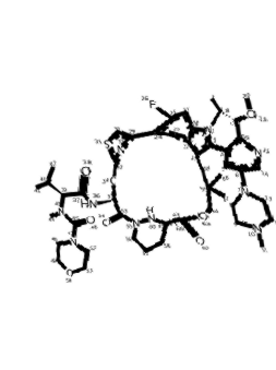 CCn1c(-c2cc(N3CCN(C)CC3)cnc2[C@H](C)OC)c2c3cc(c(F)cc31)-c1csc(n1)C[C@H](NC(=O)[C@H](C(C)C)N(C)C(=O)N1CCOCC1)C(=O)N1CCC[C@H](N1)C(=O)OCC(C)(C)C2